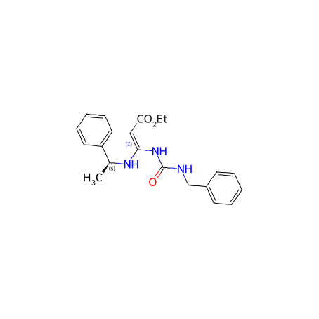 CCOC(=O)/C=C(\NC(=O)NCc1ccccc1)N[C@@H](C)c1ccccc1